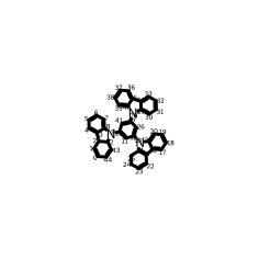 C1=CC2c3ccccc3N(c3cc(-n4c5c(c6ccccc64)C=CCC5)cc(-n4c5ccccc5c5ccccc54)c3)C2C=C1